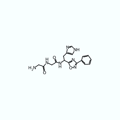 NCC(=O)NCC(=O)NC(Cc1c[nH]cn1)c1nc(-c2ccccc2)no1